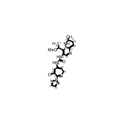 COC(C)C1=C(NC(=O)NC2=CCN=C(n3nccn3)C(Cl)=C2)C=NC2=CCC(C)NN21